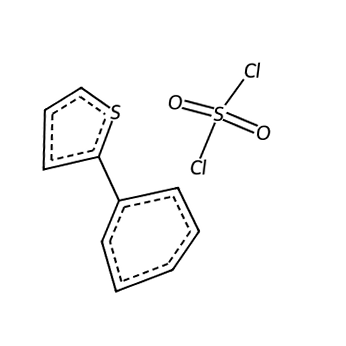 O=S(=O)(Cl)Cl.c1ccc(-c2cccs2)cc1